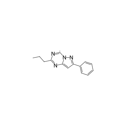 CCCc1n[c]n2nc(-c3ccccc3)cc2n1